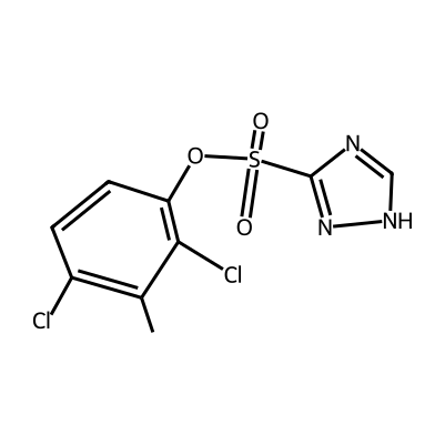 Cc1c(Cl)ccc(OS(=O)(=O)c2nc[nH]n2)c1Cl